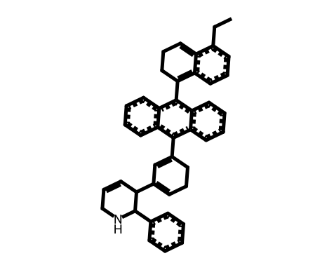 CCc1cccc2c1=CCCC=2c1c2ccccc2c(C2=CC(C3C=CCNC3c3ccccc3)=CCC2)c2ccccc12